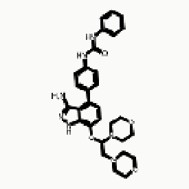 Nc1n[nH]c2c(OC(CN3CCOCC3)N3CCOCC3)ccc(-c3ccc(NC(=O)Nc4ccccc4)cc3)c12